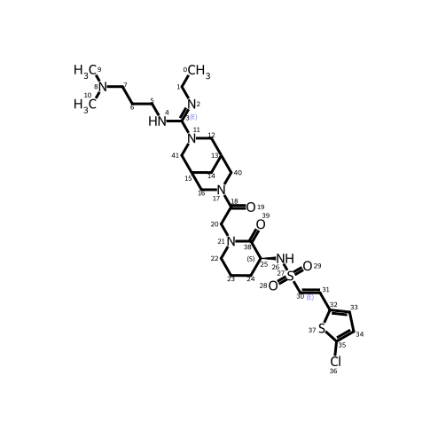 CC/N=C(\NCCCN(C)C)N1CC2CC(CN(C(=O)CN3CCC[C@H](NS(=O)(=O)/C=C/c4ccc(Cl)s4)C3=O)C2)C1